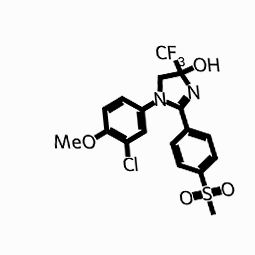 COc1ccc(N2CC(O)(C(F)(F)F)N=C2c2ccc(S(C)(=O)=O)cc2)cc1Cl